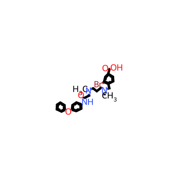 CN(CCCN(C)Cc1ccc(C(=O)O)cc1Br)CC(=O)Nc1ccc(Oc2ccccc2)cc1